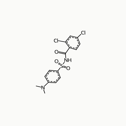 CN(C)c1ccc(S(=O)(=O)NC(=O)c2ccc(Cl)cc2Cl)cc1